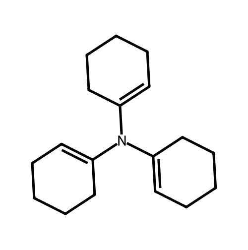 C1=C(N(C2=CCCCC2)C2=CCCCC2)CCCC1